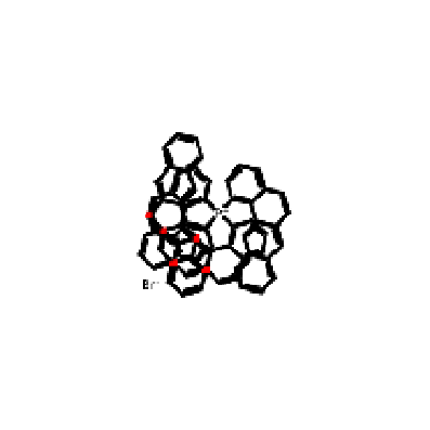 [Br-].c1ccc2cc3c(ccc4cccc([P+](c5cccc6ccc7cc8ccccc8cc7c56)(c5cccc6ccc7cc8ccccc8cc7c56)c5cccc6ccc7cc8ccccc8cc7c56)c43)cc2c1